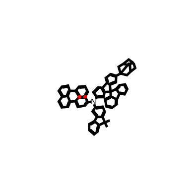 CC1(C)c2ccccc2-c2cc(N(c3ccc(-c4cccc5cccc(-c6ccccc6)c45)cc3)c3ccc4c(c3)C3(c5ccccc5-c5ccccc53)c3cc(C56CC7CC(CC(C7)C5)C6)ccc3-4)ccc21